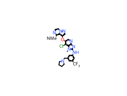 CNc1nccn2ncc(Oc3cnc4nc(Nc5cc(CN6CCCC6)cc(C(F)(F)F)c5)n(C)c4c3Cl)c12